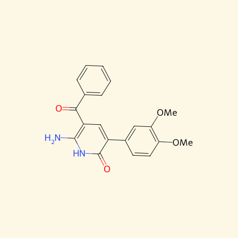 COc1ccc(-c2cc(C(=O)c3ccccc3)c(N)[nH]c2=O)cc1OC